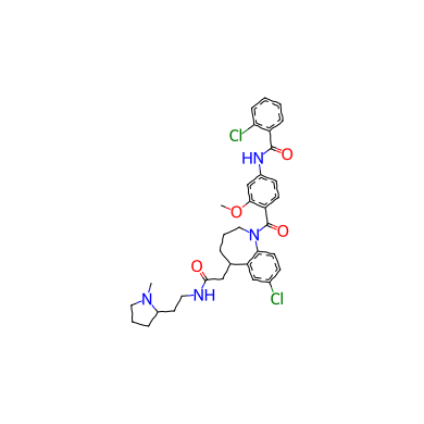 COc1cc(NC(=O)c2ccccc2Cl)ccc1C(=O)N1CCCC(CC(=O)NCCC2CCCN2C)c2cc(Cl)ccc21